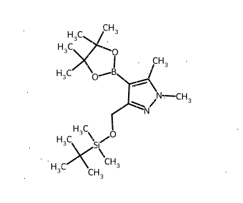 Cc1c(B2OC(C)(C)C(C)(C)O2)c(CO[Si](C)(C)C(C)(C)C)nn1C